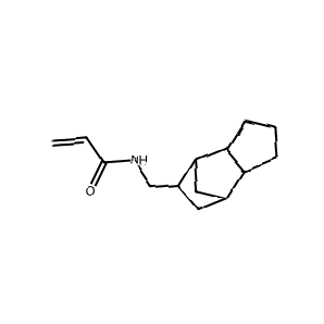 C=CC(=O)NCC1CC2CC1C1CCCC21